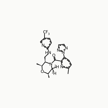 [2H]C1([2H])[C@@H](C)O[C@@H](C)[C@@H](CNc2ccc(C(F)(F)F)cn2)N1C(=O)c1nc(C)ccc1-n1nccn1